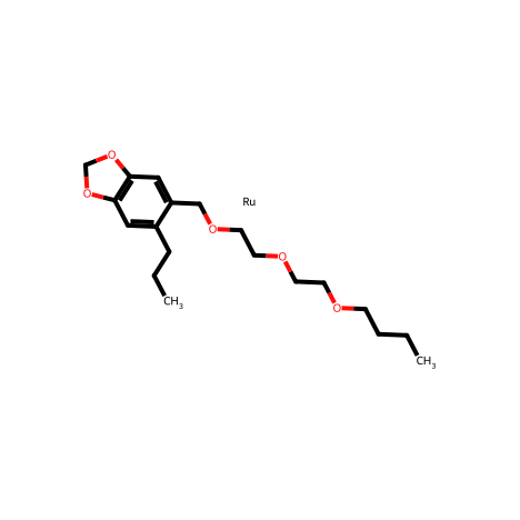 CCCCOCCOCCOCc1cc2c(cc1CCC)OCO2.[Ru]